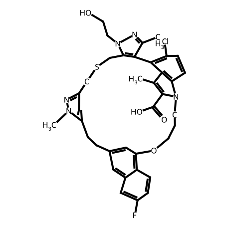 Cc1nn(CCO)c2c1-c1c(Cl)ccc3c1c(C)c(C(=O)O)n3CCCOc1cc(cc3cc(F)ccc13)CCc1cc(nn1C)CSC2